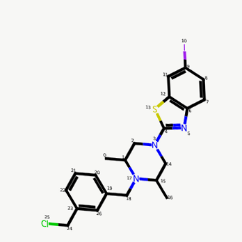 CC1CN(c2nc3ccc(I)cc3s2)CC(C)N1Cc1cccc(CCl)c1